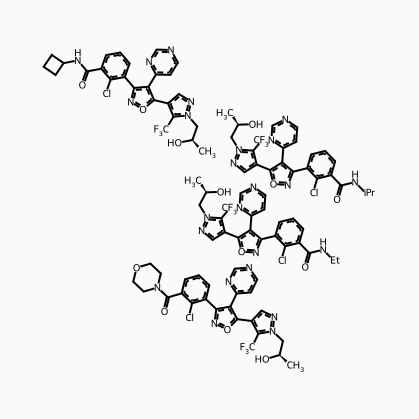 CC(C)NC(=O)c1cccc(-c2noc(-c3cnn(C[C@@H](C)O)c3C(F)(F)F)c2-c2ccncn2)c1Cl.CCNC(=O)c1cccc(-c2noc(-c3cnn(C[C@@H](C)O)c3C(F)(F)F)c2-c2ccncn2)c1Cl.C[C@@H](O)Cn1ncc(-c2onc(-c3cccc(C(=O)N4CCOCC4)c3Cl)c2-c2ccncn2)c1C(F)(F)F.C[C@@H](O)Cn1ncc(-c2onc(-c3cccc(C(=O)NC4CCC4)c3Cl)c2-c2ccncn2)c1C(F)(F)F